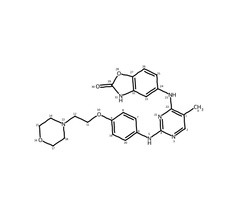 Cc1cnc(Nc2ccc(OCCN3CCOCC3)cc2)nc1Nc1ccc2oc(=O)[nH]c2c1